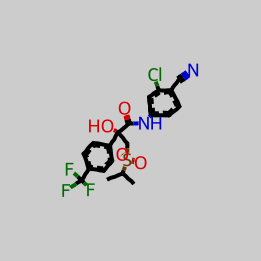 CC(C)S(=O)(=O)CC(O)(C(=O)Nc1ccc(C#N)c(Cl)c1)c1ccc(C(F)(F)F)cc1